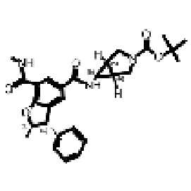 CNC(=O)c1cc(C(=O)N[C@@H]2[C@@H]3CN(C(=O)OC(C)(C)C)C[C@@H]32)cc2c1O[C@H](C)[C@H]2c1ccccc1